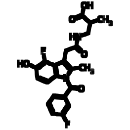 Cc1c(CC(=O)NCC(C)C(=O)O)c2c(F)c(O)ccc2n1C(=O)c1cccc(F)c1